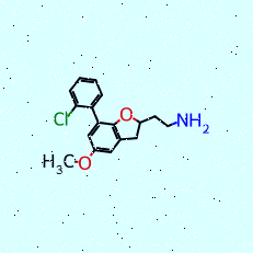 COc1cc2c(c(-c3ccccc3Cl)c1)OC(CCN)C2